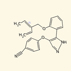 C=C/C(=C\C)COc1ccccc1-c1[nH]ncc1Oc1ccc(C#N)cc1